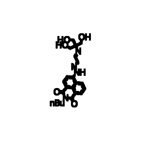 CCCCN1C(=O)c2cccc3c(NN=CC=NC(CO)(CO)CO)ccc(c23)C1=O